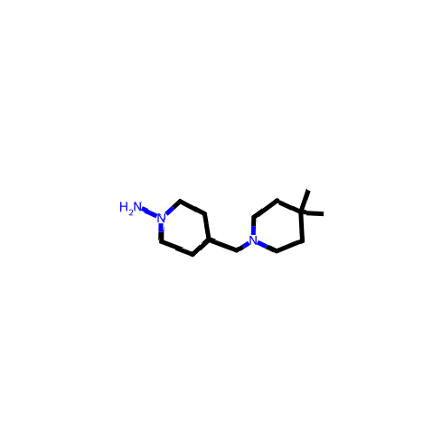 CC1(C)CCN(CC2CCN(N)CC2)CC1